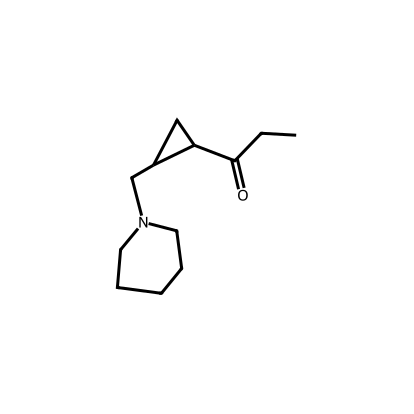 CCC(=O)C1CC1CN1CCCCC1